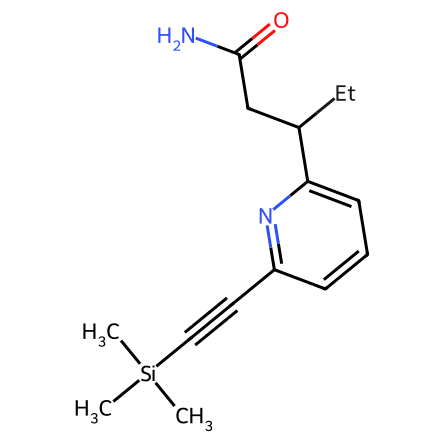 CCC(CC(N)=O)c1cccc(C#C[Si](C)(C)C)n1